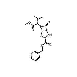 COC(=O)C(=C(C)C)N1C(=O)C2NC(C(=O)OCc3ccccc3)OC21